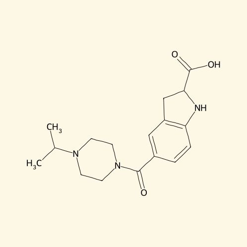 CC(C)N1CCN(C(=O)c2ccc3c(c2)CC(C(=O)O)N3)CC1